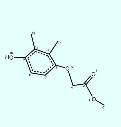 COC(=O)COc1ccc(O)c(C)c1C